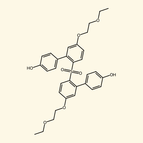 CCOCCOc1ccc(S(=O)(=O)c2ccc(OCCOCC)cc2-c2ccc(O)cc2)c(-c2ccc(O)cc2)c1